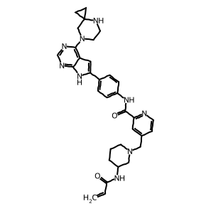 C=CC(=O)NC1CCCN(Cc2ccnc(C(=O)Nc3ccc(-c4cc5c(N6CCNC7(CC7)C6)ncnc5[nH]4)cc3)c2)C1